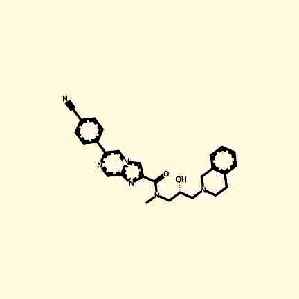 CN(C[C@H](O)CN1CCc2ccccc2C1)C(=O)c1cn2cc(-c3ccc(C#N)cc3)ncc2n1